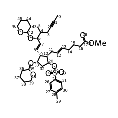 CC#CCC(C)[C@@H](C=C[C@@H]1[C@@H](CC=CCCCC(=O)OC)[C@@H](OS(=O)(=O)c2ccc(C)cc2)C[C@H]1OC1CCCCO1)OC1CCCCO1